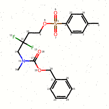 Cc1ccc(S(=O)(=O)OCCC(F)(F)CN(C)C(=O)OCc2ccccc2)cc1